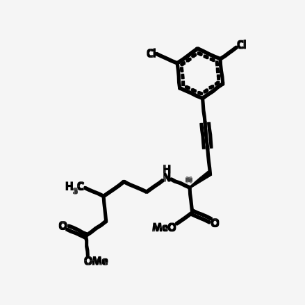 COC(=O)CC(C)CCN[C@@H](CC#Cc1cc(Cl)cc(Cl)c1)C(=O)OC